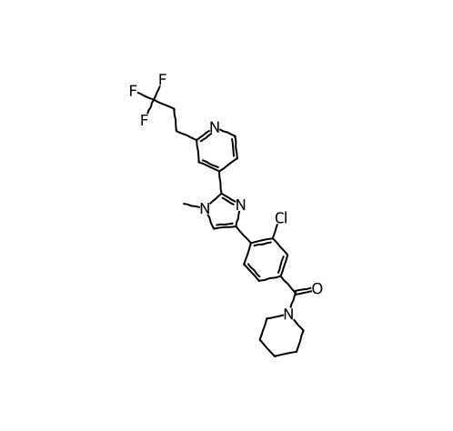 Cn1cc(-c2ccc(C(=O)N3CCCCC3)cc2Cl)nc1-c1ccnc(CCC(F)(F)F)c1